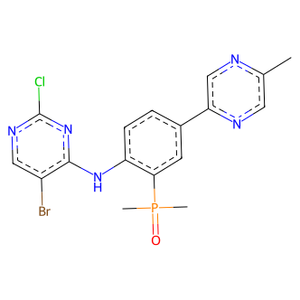 Cc1cnc(-c2ccc(Nc3nc(Cl)ncc3Br)c(P(C)(C)=O)c2)cn1